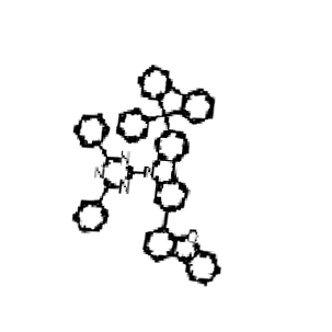 c1ccc(-c2nc(-c3ccccc3)nc(-n3c4cc(-c5cccc6c5oc5ccccc56)ccc4c4ccc(C5(c6ccccc6)c6ccccc6-c6ccccc65)cc43)n2)cc1